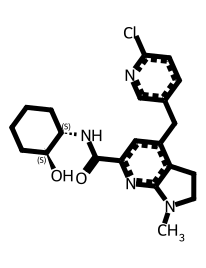 CN1CCc2c(Cc3ccc(Cl)nc3)cc(C(=O)N[C@H]3CCCC[C@@H]3O)nc21